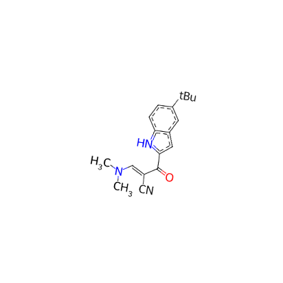 CN(C)C=C(C#N)C(=O)c1cc2cc(C(C)(C)C)ccc2[nH]1